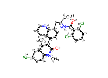 Cn1c(=O)c(-c2ccc(CC(NC(=O)c3c(Cl)cccc3Cl)C(=O)O)c3ncccc23)c(C(F)(F)F)c2cc(Br)ccc21